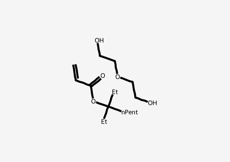 C=CC(=O)OC(CC)(CC)CCCCC.OCCOCCO